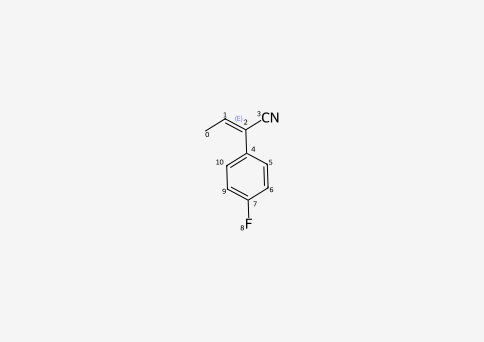 C/C=C(/C#N)c1ccc(F)cc1